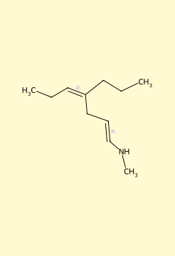 CC/C=C(\C/C=C/NC)CCC